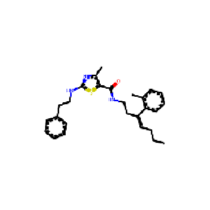 CCC/C=C(/CCNC(=O)c1sc(NCCc2ccccc2)nc1C)c1ccccc1C